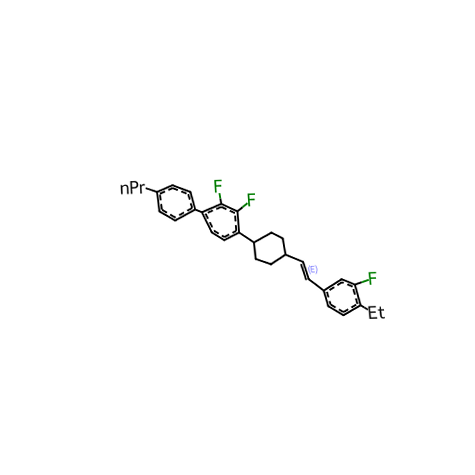 CCCc1ccc(-c2ccc(C3CCC(/C=C/c4ccc(CC)c(F)c4)CC3)c(F)c2F)cc1